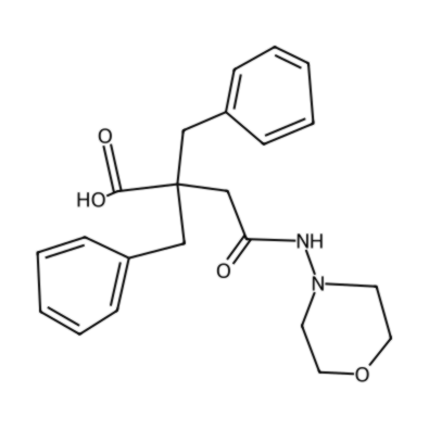 O=C(CC(Cc1ccccc1)(Cc1ccccc1)C(=O)O)NN1CCOCC1